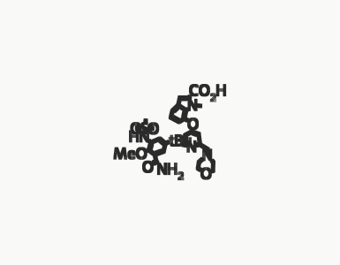 COc1c(NS(C)(=O)=O)cc(C(C)(C)C)cc1C(N)=O.Cn1c(C(=O)O)cc2cccc(Oc3ccnc(CN4CCOCC4)c3)c21